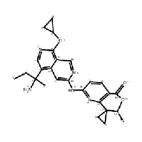 CCC(C)(N)c1cnc(OC2CC2)c2cnc(Nc3ccc4c(n3)C3(CC3)[C@H](C)OC4=O)cc12